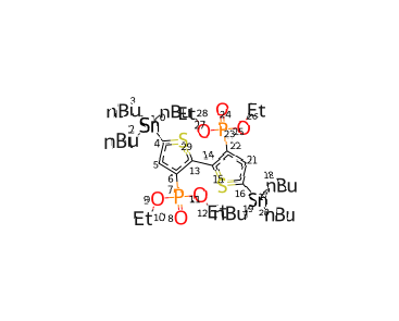 CCC[CH2][Sn]([CH2]CCC)([CH2]CCC)[c]1cc(P(=O)(OCC)OCC)c(-c2s[c]([Sn]([CH2]CCC)([CH2]CCC)[CH2]CCC)cc2P(=O)(OCC)OCC)s1